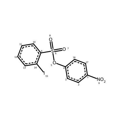 O=[N+]([O-])c1ccc(OS(=O)(=O)c2ccccc2I)cc1